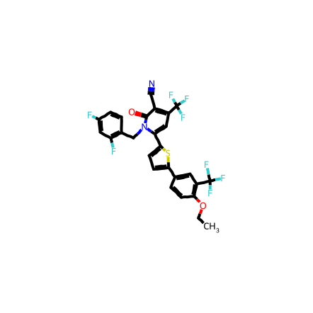 CCOc1ccc(-c2ccc(-c3cc(C(F)(F)F)c(C#N)c(=O)n3Cc3ccc(F)cc3F)s2)cc1C(F)(F)F